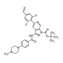 CN1CCN(c2ccc(C(=O)Nc3nn(C(=O)OC(C)(C)C)c4cnc(-c5c(F)cc(C=O)cc5F)cc34)cc2)CC1